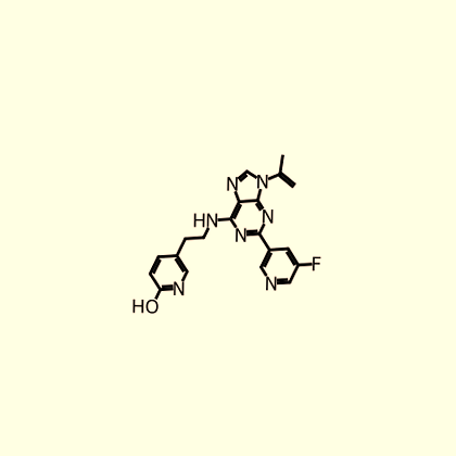 C=C(C)n1cnc2c(NCCc3ccc(O)nc3)nc(-c3cncc(F)c3)nc21